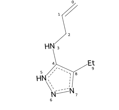 C=CCNc1[nH]nnc1CC